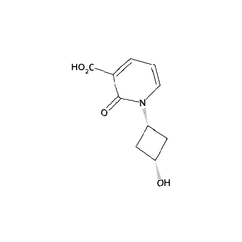 O=C(O)c1cccn([C@H]2C[C@@H](O)C2)c1=O